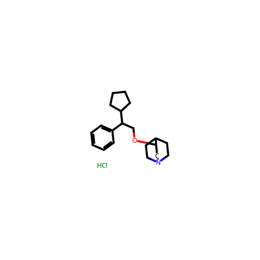 Cl.c1ccc(C(COC2CN3CCC2CC3)C2CCCC2)cc1